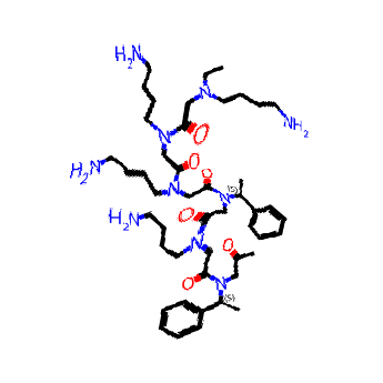 CCN(CCCCN)CC(=O)N(CCCCN)CC(=O)N(CCCCN)CC(=O)N(CC(=O)N(CCCCN)CC(=O)N(CC(C)=O)[C@@H](C)c1ccccc1)[C@@H](C)c1ccccc1